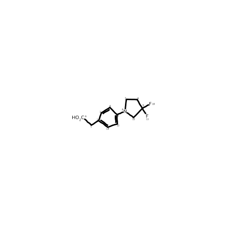 O=C(O)Cc1ccc(N2CCC(F)(F)C2)cc1